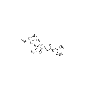 CCOC(C)(C)CCOC(C)(C)C(=O)/C=C/C(=O)OCC(C)OC(C)(C)C